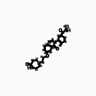 CCNC(=O)c1ccc(C)c(-n2cnc3ccc(OCCN4CCNC(=O)CC4)cc3c2=O)c1